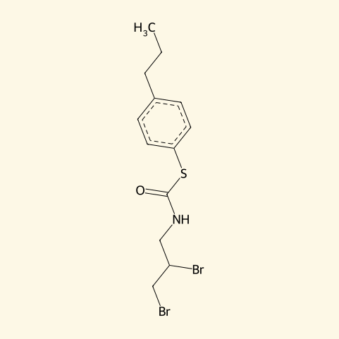 CCCc1ccc(SC(=O)NCC(Br)CBr)cc1